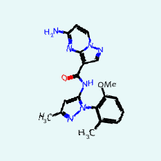 COc1cccc(C)c1-n1nc(C)cc1NC(=O)c1cnn2ccc(N)nc12